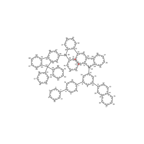 c1ccc(-c2ccc(-c3cc(-c4ccc5ccccc5c4)cc(-n4c5ccccc5c5cc(-c6ccccc6N(c6ccccc6)c6ccc7c(c6)C(c6ccccc6)(c6ccccc6)c6ccccc6-7)ccc54)c3)cc2)cc1